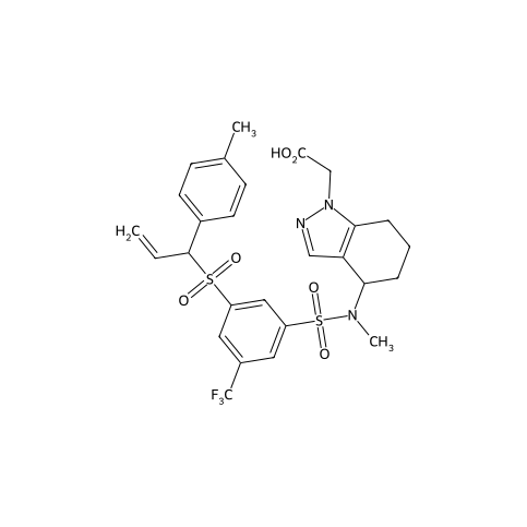 C=CC(c1ccc(C)cc1)S(=O)(=O)c1cc(C(F)(F)F)cc(S(=O)(=O)N(C)C2CCCc3c2cnn3CC(=O)O)c1